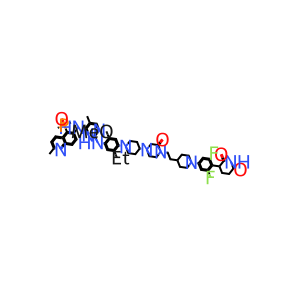 CCc1cc(Nc2ncc(C)c(Nc3ccc4nc(C)ccc4c3P(C)(C)=O)n2)c(OC)cc1N1CCC(N2CCN(CCC3CCN(c4cc(F)c(C5CCC(=O)NC5=O)c(F)c4)CC3)C(=O)C2)CC1